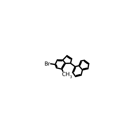 Cc1cc(Br)cc2c1C(c1cccc3ccccc13)C=C2